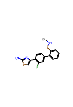 CC(C)(C)NSc1ccccc1-c1ccc(-c2csc(N)n2)c(F)c1